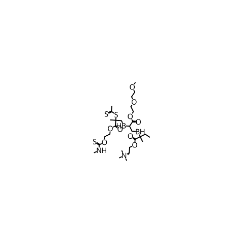 CCC(C)(BCC(BCC(C)(SC(C)=S)C(=O)OCCOC(=S)NC)C(=O)OCCOCCOC)C(=O)OCC[N+](C)(C)C